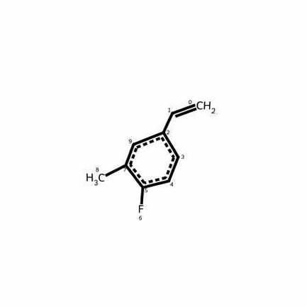 C=Cc1ccc(F)c(C)c1